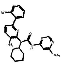 COc1cc(NC(=O)N(c2nc(-c3ccccc3C#N)ccc2N)C2CCCCC2)ncn1